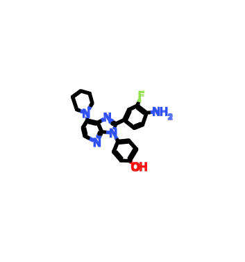 Nc1ccc(-c2nc3c(N4CCCCC4)ccnc3n2-c2ccc(O)cc2)cc1F